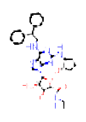 CCNC(=O)[C@H]1O[C@@H](n2cnc3c(NCC(c4ccccc4)c4ccccc4)nc(N[C@@H]4CCC[C@H]4O)nc32)[C@H](O)[C@@H]1O